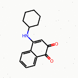 O=C1C=C(NC2CCCCC2)c2ccccc2C1=O